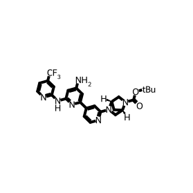 CC(C)(C)OC(=O)N1C[C@@H]2C[C@H]1CN2c1cc(-c2cc(N)cc(Nc3cc(C(F)(F)F)ccn3)n2)ccn1